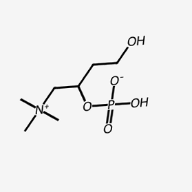 C[N+](C)(C)CC(CCO)OP(=O)([O-])O